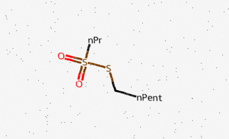 CCCCCCSS(=O)(=O)CCC